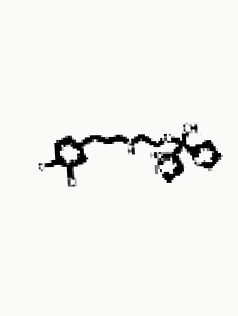 CC(OCCNCCCc1ccc(Cl)c(Cl)c1)(c1ccn[nH]1)c1cccs1